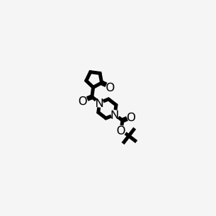 CC(C)(C)OC(=O)N1CCN(C(=O)C2CCCC2=O)CC1